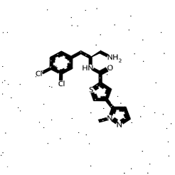 Cn1nccc1-c1csc(C(=O)N[C@H](CN)Cc2ccc(Cl)c(Cl)c2)c1